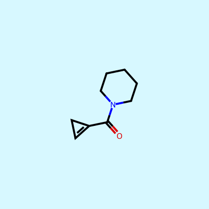 O=C(C1=CC1)N1CCCCC1